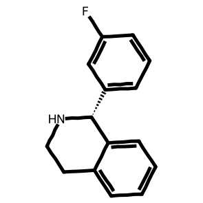 Fc1cccc([C@H]2NCCc3ccccc32)c1